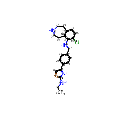 FC(F)(F)CNc1nc(-c2ccc(CNc3c(Cl)ccc4c3CCNCC4)cc2)cs1